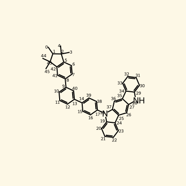 CC1C(C)(C)c2ccc(-c3cccc(-c4ccc(-n5c6ccccc6c6cc7[nH]c8ccccc8c7cc65)cc4)c3)cc2C1(C)C